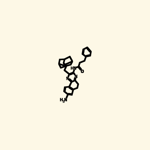 Nc1ccc2c(c1)CCc1nc(NC(=O)CCc3ccccc3)c(CC34CC5CC(CC(C5)C3)C4)nc1-2